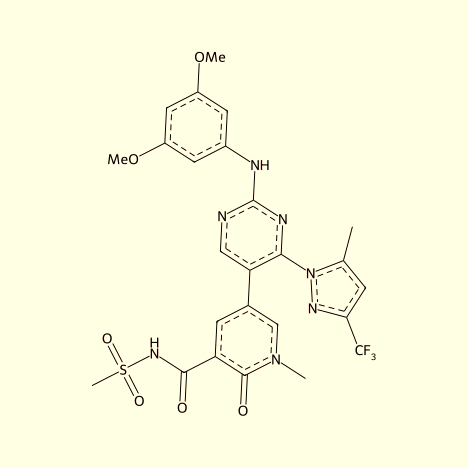 COc1cc(Nc2ncc(-c3cc(C(=O)NS(C)(=O)=O)c(=O)n(C)c3)c(-n3nc(C(F)(F)F)cc3C)n2)cc(OC)c1